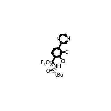 CC(C)(C)[S+]([O-])N[C@H](c1ccc(-c2cnccn2)c(Cl)c1Cl)C(F)(F)F